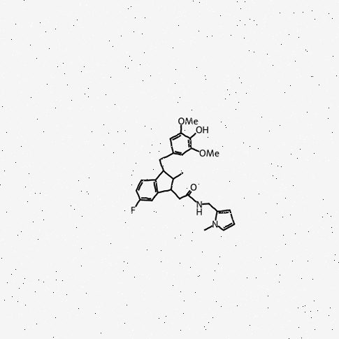 COc1cc(CC2c3ccc(F)cc3C(CC(=O)NCc3cccn3C)C2C)cc(OC)c1O